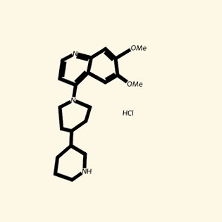 COc1cc2nccc(N3CCC(C4CCCNC4)CC3)c2cc1OC.Cl